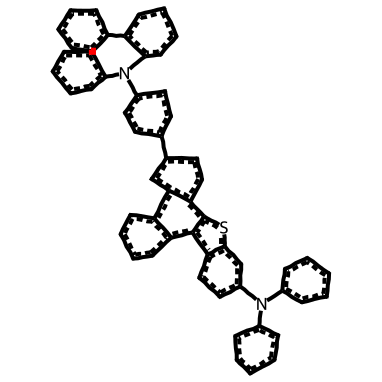 c1ccc(-c2ccccc2N(c2ccccc2)c2ccc(-c3ccc4c(c3)c3ccccc3c3c5ccc(N(c6ccccc6)c6ccccc6)cc5sc43)cc2)cc1